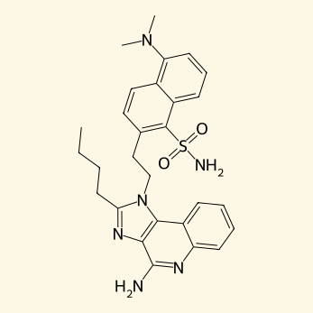 CCCCc1nc2c(N)nc3ccccc3c2n1CCc1ccc2c(N(C)C)cccc2c1S(N)(=O)=O